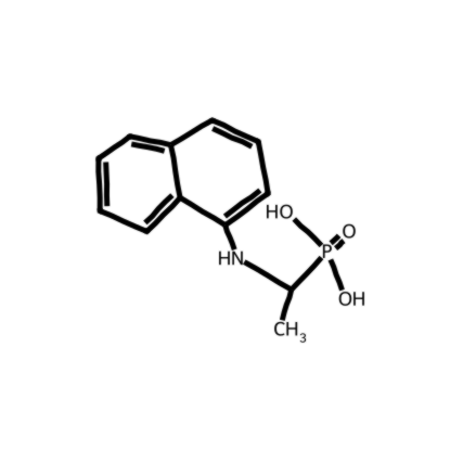 CC(Nc1cccc2ccccc12)P(=O)(O)O